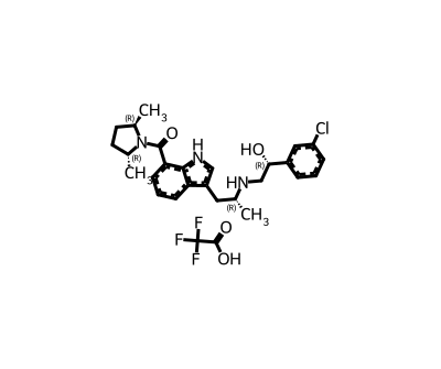 C[C@H](Cc1c[nH]c2c(C(=O)N3[C@H](C)CC[C@H]3C)cccc12)NC[C@H](O)c1cccc(Cl)c1.O=C(O)C(F)(F)F